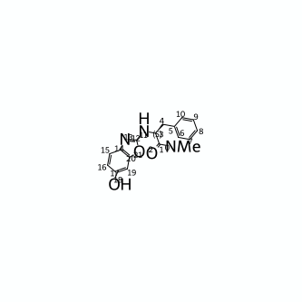 CNC(=O)[C@H](Cc1ccccc1)Nc1nc2ccc(O)cc2o1